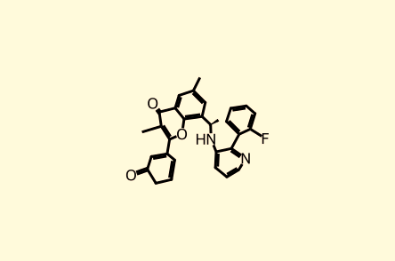 Cc1cc([C@@H](C)Nc2cccnc2-c2ccccc2F)c2oc(C3=CC(=O)CC=C3)c(C)c(=O)c2c1